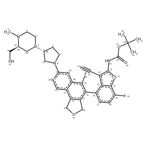 CN1CCN([C@@H]2CCN(c3ncc4c5c(c(-c6ncc(F)c7sc(NC(=O)OC(C)(C)C)c(C#N)c67)c(F)c4n3)COC5)C2)C[C@H]1CO